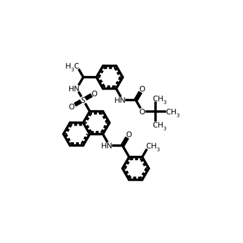 Cc1ccccc1C(=O)Nc1ccc(S(=O)(=O)NC(C)c2cccc(NC(=O)OC(C)(C)C)c2)c2ccccc12